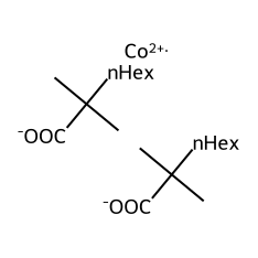 CCCCCCC(C)(C)C(=O)[O-].CCCCCCC(C)(C)C(=O)[O-].[Co+2]